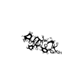 Cc1ccc(CC(=O)Nc2cccc3c2O[C@H](CN(C)Cc2ccc(Oc4ccccc4F)cc2)[C@H](C)CN([C@@H](C)CO)C3=O)cc1